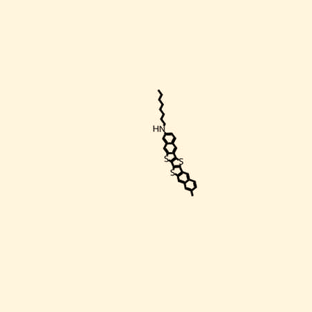 CCCCCCCCNc1ccc2cc3c(cc2c1)sc1c3sc2c3cc4ccc(C)cc4cc3sc21